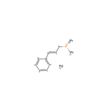 CC(C)P(C/C=C/c1ccccc1)C(C)C.[Pd]